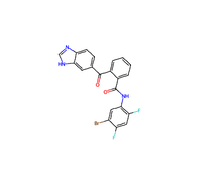 O=C(Nc1cc(Br)c(F)cc1F)c1ccccc1C(=O)c1ccc2n[c][nH]c2c1